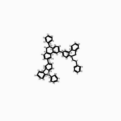 c1ccc(CCC2Cc3ccccc3-c3cc(-c4ccc5c(c4)-c4cc(-c6ccc7c(c6)c6ccccc6n7-c6ccccc6)ccc4CC5c4ccccc4)ccc32)cc1